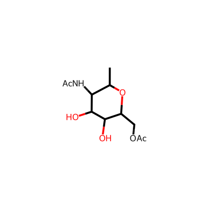 CC(=O)NC1C(C)OC(COC(C)=O)C(O)C1O